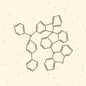 c1ccc(-c2ccc(N(c3ccccc3)c3ccc4c(c3)C3(c5ccccc5-4)c4ccccc4-c4c(N5c6ccccc6Sc6ccccc65)cccc43)cc2)cc1